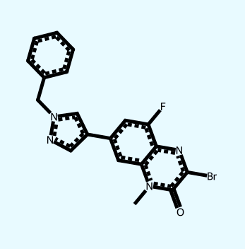 Cn1c(=O)c(Br)nc2c(F)cc(-c3cnn(Cc4ccccc4)c3)cc21